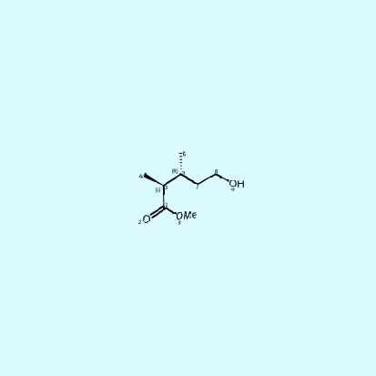 COC(=O)[C@@H](C)[C@H](C)CCO